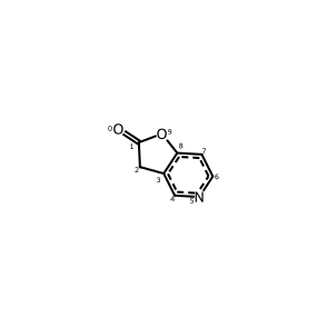 O=C1Cc2cnccc2O1